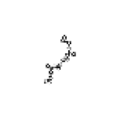 c1ccc(N(c2ccc(-c3cccc(-c4cccc5ccccc45)c3)cc2)c2ccc3c(c2)oc2cc(-c4ccc5oc6cc(N(c7ccccc7)c7ccc(-c8ccc9sc%10ccccc%10c9c8)cc7)ccc6c5c4)ccc23)cc1